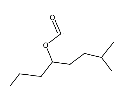 CCCC(CCC(C)C)O[C]=O